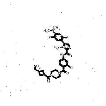 CN(C)c1nc(F)c(-c2cnc(C(=O)Nc3ccc(C(=O)N4CCN(C(=O)C5CC(CN)C5)CC4)c(Cl)c3)n2C)cc1F